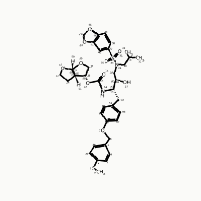 CSc1ccc(COc2ccc(C[C@H](NC(=O)O[C@H]3CO[C@H]4OCC[C@H]43)[C@H](O)CN(CC(C)C)S(=O)(=O)c3ccc4c(c3)OCO4)cc2)cc1